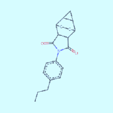 CCCc1ccc(N2C(=O)C3C4CCC(C5CC54)C3C2=O)cc1